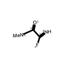 CNC(=O)C(=N)F